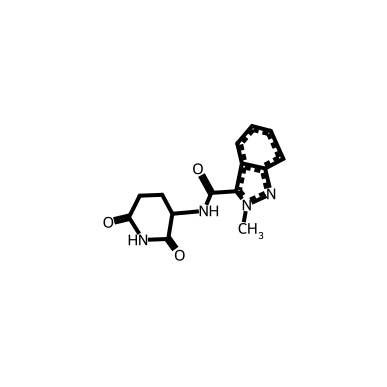 Cn1nc2ccccc2c1C(=O)NC1CCC(=O)NC1=O